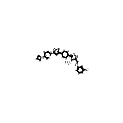 Cn1c(COc2cccc(Cl)c2)nnc1C1CCC(c2cc([C@@H]3CC[C@@H](N4CCC4)CO3)on2)CC1